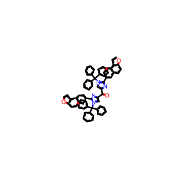 O=C(c1cn(C(c2ccccc2)(c2ccccc2)c2ccccc2)c(-c2ccc3c(ccc4occc43)c2)n1)c1cn(C(c2ccccc2)(c2ccccc2)c2ccccc2)c(-c2ccc3c(ccc4occc43)c2)n1